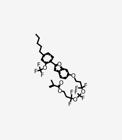 C=C(C)C(=O)OCCC(F)(F)OC(F)(F)OC(F)(F)CCOc1ccc2cc(-c3ccc(CCCCC)cc3OC(F)(F)F)oc2c1